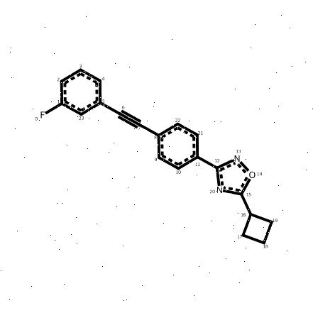 Fc1cccc(C#Cc2ccc(-c3noc(C4CCC4)n3)cc2)c1